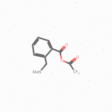 CNCc1ccccc1C(=O)OC(=O)C(F)(F)F